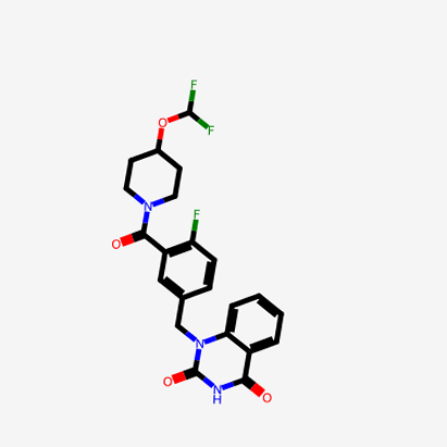 O=C(c1cc(Cn2c(=O)[nH]c(=O)c3ccccc32)ccc1F)N1CCC(OC(F)F)CC1